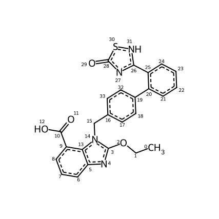 CCOc1nc2cccc(C(=O)O)c2n1Cc1ccc(-c2ccccc2-c2nc(=O)s[nH]2)cc1